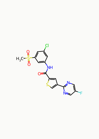 CS(=O)(=O)c1cc(Cl)cc(NC(=O)c2cc(-c3ncc(F)cn3)cs2)c1